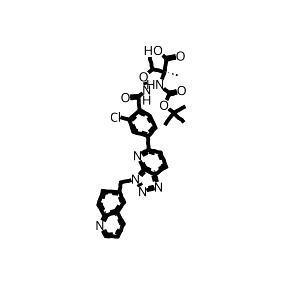 CC(ONC(=O)c1ccc(-c2ccc3nnn(Cc4ccc5ncccc5c4)c3n2)cc1Cl)[C@](C)(NC(=O)OC(C)(C)C)C(=O)O